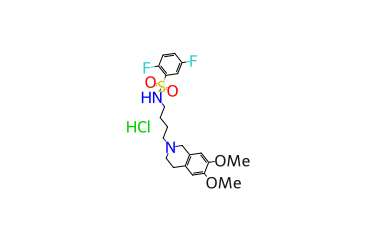 COc1cc2c(cc1OC)CN(CCCCNS(=O)(=O)c1cc(F)ccc1F)CC2.Cl